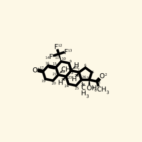 CC(=O)[C@@]1(O)CC[C@H]2[C@@H]3C[C@H](C(F)(F)F)C4=CC(=O)CC[C@]4(C)[C@H]3CC[C@@]21C